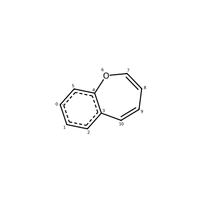 [c]1ccc2c(c1)OC=CC=C2